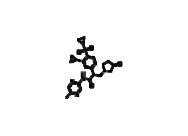 Cc1cnc(NC(=O)[C@H](C[C@H]2CCC(=O)C2)c2ccc(S(=O)(=O)C3CC3)c(C3CC3)c2)cn1